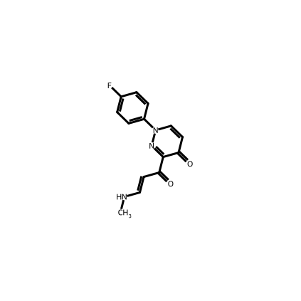 CNC=CC(=O)c1nn(-c2ccc(F)cc2)ccc1=O